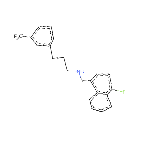 Fc1ccc(CNCCCc2cccc(C(F)(F)F)c2)c2ccccc12